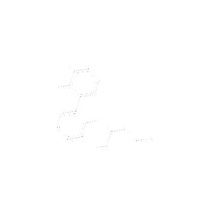 Cc1cccc(-c2cccc3c2OC(CCN)CO3)c1C